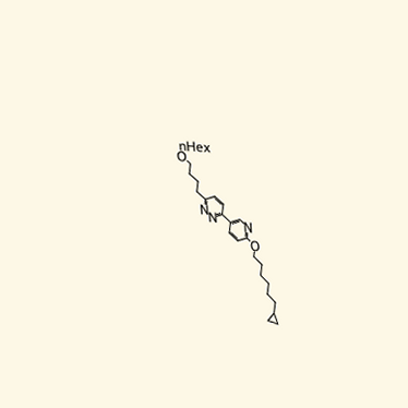 CCCCCCOCCCCc1ccc(-c2ccc(OCCCCCCC3CC3)nc2)nn1